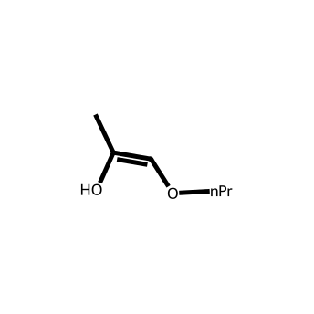 CCCOC=C(C)O